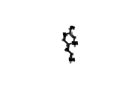 CC(C)c1c[nH]/c(=N\C=N)cn1